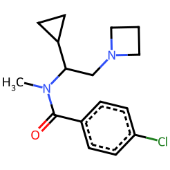 CN(C(=O)c1ccc(Cl)cc1)C(CN1CCC1)C1CC1